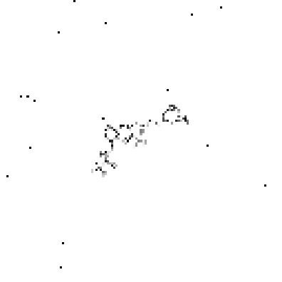 CCN(CC)CCCCN(Cc1cc(CNC(=O)C(F)(F)F)ccn1)C(=O)C(F)(F)F